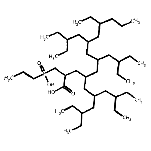 CCCC(CC)CC(CC(CC)CC)CC(CC(CC)CC)CC(CC(CC(CC)CC)CC(CC)CC)CC(CP(=O)(O)CCC)C(=O)O